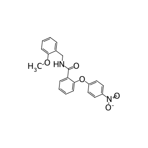 COc1ccccc1CNC(=O)c1ccccc1Oc1ccc([N+](=O)[O-])cc1